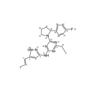 C/C=C/c1cc(Nc2nc(CC)nc(N3CCCC3c3ccc(F)cc3)n2)n[nH]1